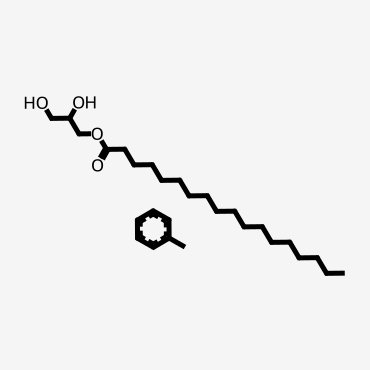 CCCCCCCCCCCCCCCCCC(=O)OCC(O)CO.Cc1ccccc1